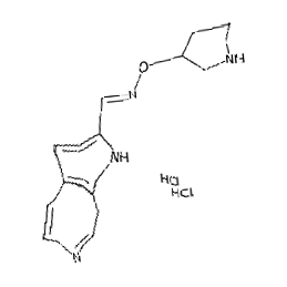 C(=N\OC1CCNC1)/c1cc2ccncc2[nH]1.Cl.Cl